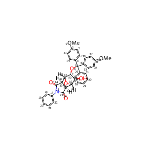 COc1ccc(C(O[C@H]2[C@@H](O)[C@H]3O[C@@H]2[C@@H]2C(=O)N(c4ccccc4)C(=O)[C@H]32)(c2ccccc2)c2ccc(OC)cc2)cc1